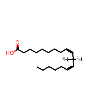 [2H]C([2H])(/C=C\CCCCC)/C=C\CCCCCCCC(=O)O